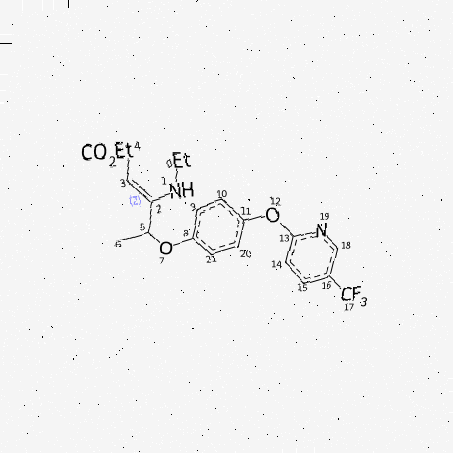 CCN/C(=C\C(=O)OCC)C(C)Oc1ccc(Oc2ccc(C(F)(F)F)cn2)cc1